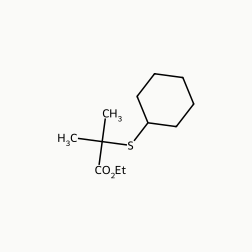 CCOC(=O)C(C)(C)SC1CCCCC1